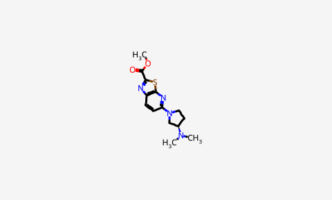 COC(=O)c1nc2ccc(N3CC[C@@H](N(C)C)C3)nc2s1